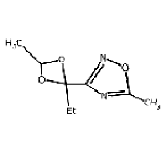 CCC1(c2noc(C)n2)OC(C)O1